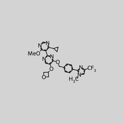 COc1ncnc(C2CC2)c1-c1ncc(OC2COC2)c(OCc2ccc(-c3nc(C(F)(F)F)cn3C)cc2)n1